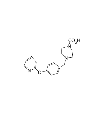 O=C(O)N1CCN(Cc2ccc(Oc3ccccn3)cc2)CC1